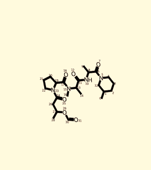 CC1CCCN(C(=O)C(C)NC(=O)C(C)N(C)C(=O)C2CCCN2C(=O)CC(C)OC=O)C1